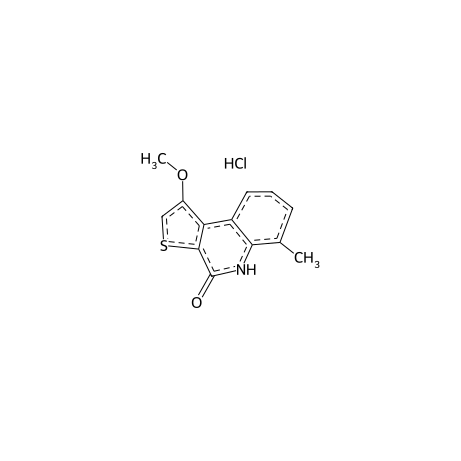 COc1csc2c(=O)[nH]c3c(C)cccc3c12.Cl